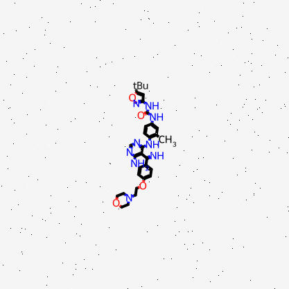 Cc1cc(NC(=O)Nc2cc(C(C)(C)C)on2)ccc1Nc1ncnc(N)c1C(=N)c1ccc(OCCN2CCOCC2)cc1